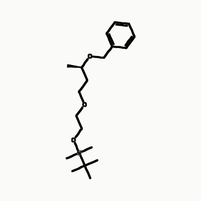 C[C@H](CCOCCO[Si](C)(C)C(C)(C)C)OCc1ccccc1